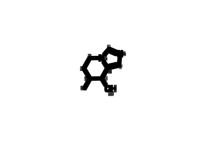 CC1CCn2cncc2C1O